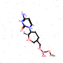 CCCCOP(O)OCC1CCC(n2ccc(N)nc2=O)[C@H](C)OC1